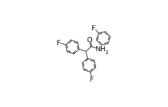 Fc1ccccc1.NC(=O)C(c1ccc(F)cc1)c1ccc(F)cc1